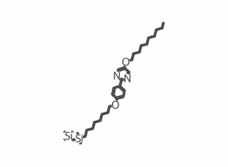 CCCCCCCCCCOc1cnc(-c2ccc(OCCCCCCCC[Si](C)(C)C[Si](C)(C)C)cc2)nc1